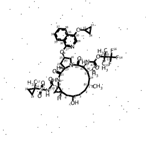 C[C@@H]1CCC(O)C[C@@H]2C[C@@]2(C(=O)NS(=O)(=O)C2(C)CC2)NC(=O)[C@@H]2C[C@@H](Oc3ncc(OC4CC4)c4ccccc34)CN2C(=O)[C@@H](NC(=O)OC(C)(C)C(F)(F)F)[C@H](C)C1